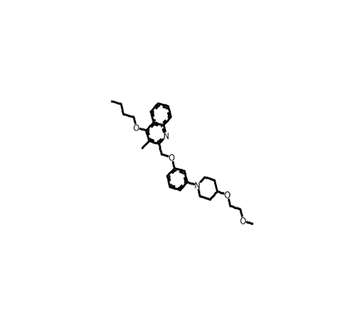 CCCCOc1c(C)c(COc2cccc(N3CCC(OCCOC)CC3)c2)nc2ccccc12